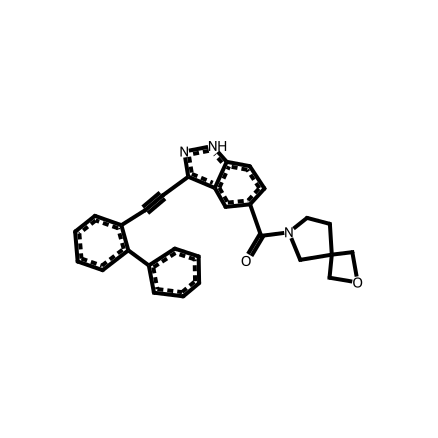 O=C(c1ccc2[nH]nc(C#Cc3ccccc3-c3ccccc3)c2c1)N1CCC2(COC2)C1